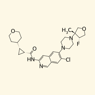 C[C@@]1(N2CCN(c3cc4cc(NC(=O)[C@@H]5C[C@@H]5C5CCOCC5)ncc4cc3Cl)CC2)COC[C@@H]1F